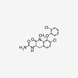 CN1C(=O)[C@H](NC(N)=O)Cc2ccc(Cl)c(Oc3ccccc3Cl)c21